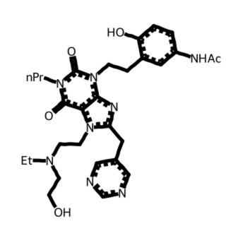 CCCn1c(=O)c2c(nc(Cc3cncnc3)n2CCN(CC)CCO)n(CCc2cc(NC(C)=O)ccc2O)c1=O